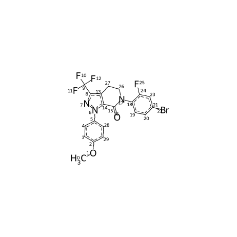 COc1ccc(-n2nc(C(F)(F)F)c3c2C(=O)N(c2ccc(Br)cc2F)CC3)cc1